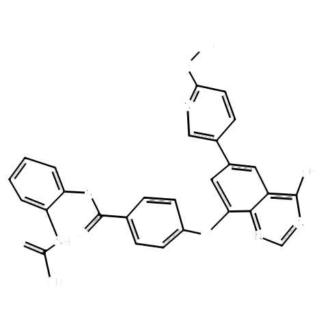 COc1ccc(-c2cc(Oc3ccc(C(=O)Nc4ccccc4NC(=O)O)cc3)c3ncnc(C)c3c2)cn1